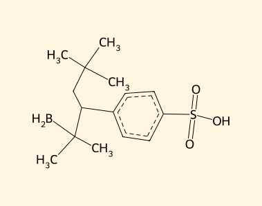 BC(C)(C)C(CC(C)(C)C)c1ccc(S(=O)(=O)O)cc1